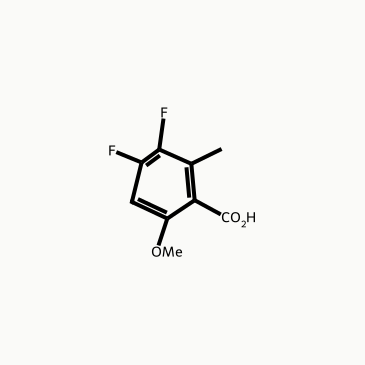 COc1cc(F)c(F)c(C)c1C(=O)O